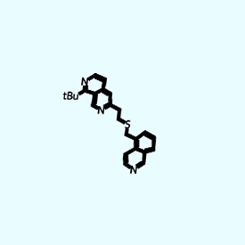 CC(C)(C)c1nccc2cc(CCSCc3cccc4cnccc34)ncc12